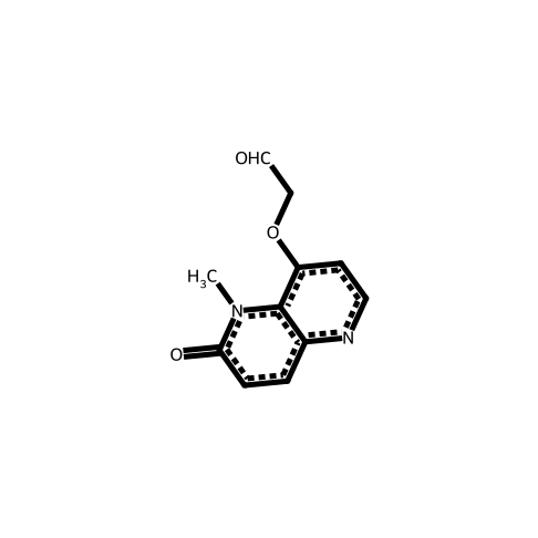 Cn1c(=O)ccc2nccc(OCC=O)c21